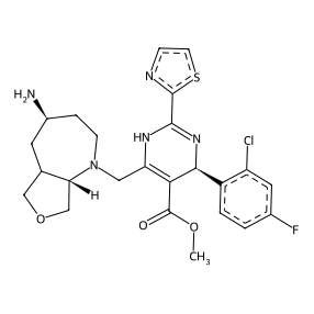 COC(=O)C1=C(CN2CC[C@H](N)CC3COC[C@H]32)NC(c2nccs2)=N[C@H]1c1ccc(F)cc1Cl